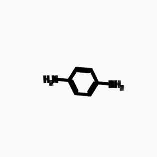 Nc1cc[c]([BiH2])cc1